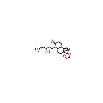 C=CC(O)CCC1C(=O)CCC2C1CC[C@]1(C)C2CCC12OCCO2